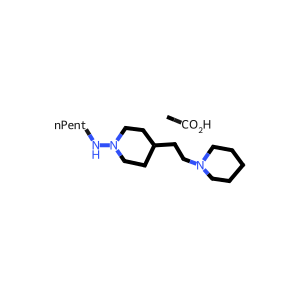 CC(=O)O.CCCCCNN1CCC(CCN2CCCCC2)CC1